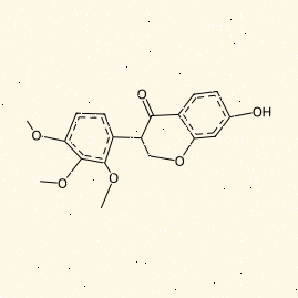 COc1ccc(C2COc3cc(O)ccc3C2=O)c(OC)c1OC